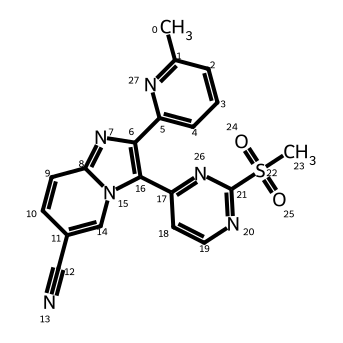 Cc1cccc(-c2nc3ccc(C#N)cn3c2-c2ccnc(S(C)(=O)=O)n2)n1